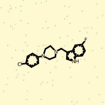 Fc1ccc2[nH]cc(CN3CCN(c4ccc(Cl)cc4)CC3)c2c1